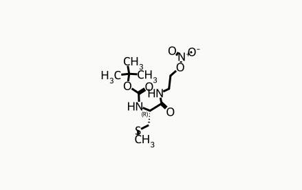 CSC[C@H](NC(=O)OC(C)(C)C)C(=O)NCCO[N+](=O)[O-]